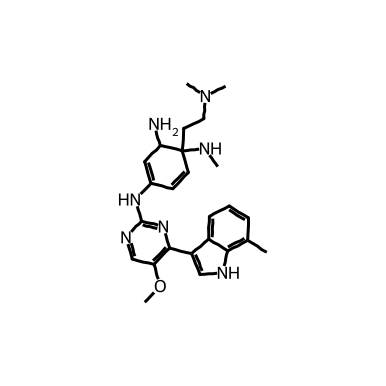 CNC1(CCN(C)C)C=CC(Nc2ncc(OC)c(-c3c[nH]c4c(C)cccc34)n2)=CC1N